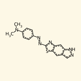 CN(C)c1ccc(/N=N/c2nc3cc4[nH]ncc4cc3s2)cc1